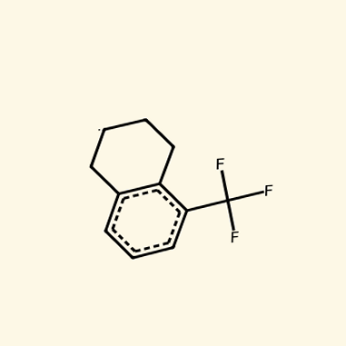 FC(F)(F)c1cccc2c1CC[CH]C2